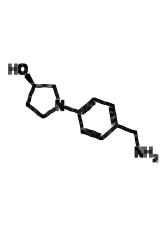 NCc1ccc(N2CC[C@@H](O)C2)cc1